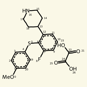 COc1ccc(Sc2c(F)cccc2C2CCNCC2)cc1.O=C(O)C(=O)O